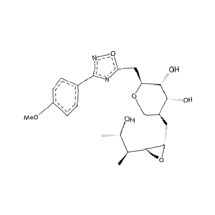 COc1ccc(-c2noc(C[C@@H]3OC[C@H](C[C@@H]4O[C@H]4[C@@H](C)[C@H](C)O)[C@@H](O)[C@H]3O)n2)cc1